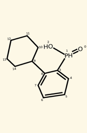 O=[PH](O)c1ccccc1C1CCCCC1